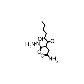 CCCCCC(=O)C(CC(N)=O)C(=O)N(N)O